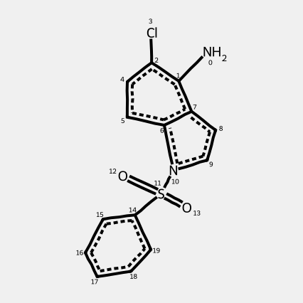 Nc1c(Cl)ccc2c1ccn2S(=O)(=O)c1ccccc1